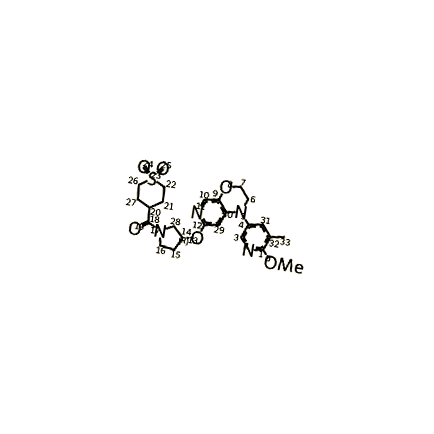 COc1ncc(N2CCOc3cnc(O[C@@H]4CCN(C(=O)C5CCS(=O)(=O)CC5)C4)cc32)cc1C